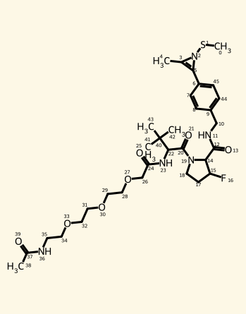 CSN1C(C)=C1c1ccc(CNC(=O)C2C(F)CCN2C(=O)C(NC(=O)COCCOCCOCCNC(C)=O)C(C)(C)C)cc1